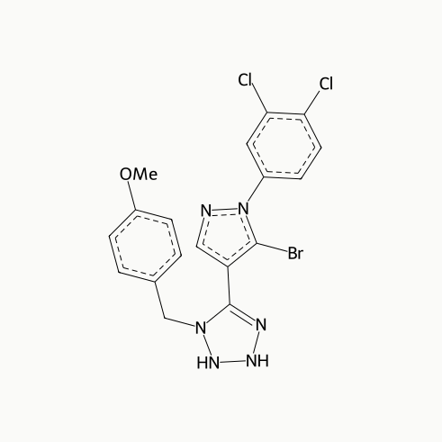 COc1ccc(CN2NNN=C2c2cnn(-c3ccc(Cl)c(Cl)c3)c2Br)cc1